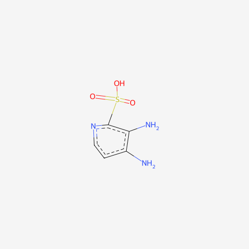 Nc1ccnc(S(=O)(=O)O)c1N